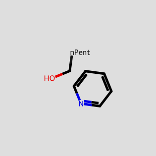 CCCCCCO.c1ccncc1